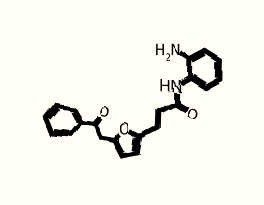 Nc1ccccc1NC(=O)CCc1ccc(CC(=O)c2ccccc2)o1